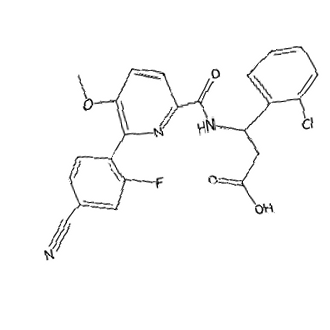 COc1ccc(C(=O)NC(CC(=O)O)c2ccccc2Cl)nc1-c1ccc(C#N)cc1F